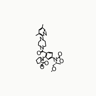 COC[C@@H]1COC(=O)N1c1ccc(C(=O)N2CCN(c3ncc(C)cc3C)CC2)c(N2CCCS2(=O)=O)c1